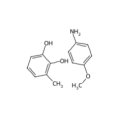 COc1ccc(N)cc1.Cc1cccc(O)c1O